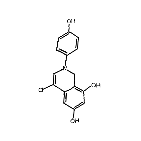 Oc1ccc(N2C=C(Cl)c3cc(O)cc(O)c3C2)cc1